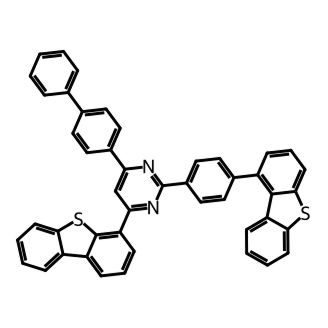 c1ccc(-c2ccc(-c3cc(-c4cccc5c4sc4ccccc45)nc(-c4ccc(-c5cccc6sc7ccccc7c56)cc4)n3)cc2)cc1